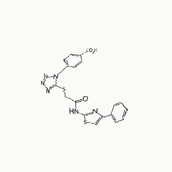 O=C(CSc1nnnn1-c1ccc(C(=O)O)cc1)Nc1nc(-c2ccccc2)cs1